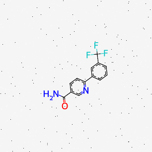 NC(=O)c1ccc(-c2cccc(C(F)(F)F)c2)nc1